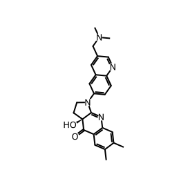 Cc1cc2c(cc1C)C(=O)[C@]1(O)CCN(c3ccc4ncc(CN(C)C)cc4c3)C1=N2